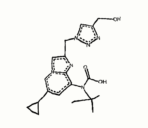 CC(C)(C)N(C(=O)O)c1cc(C2CC2)cn2cc(Cn3cc(CO)nn3)nc12